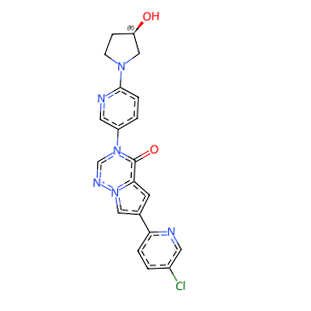 O=c1c2cc(-c3ccc(Cl)cn3)cn2ncn1-c1ccc(N2CC[C@@H](O)C2)nc1